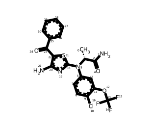 C[C@H](C(N)=O)N(c1ccc(Cl)c(OC(F)(F)F)c1)c1nc(N)c(C(=O)c2ccccc2)s1